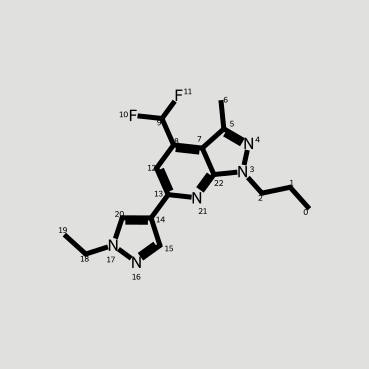 CCCn1nc(C)c2c(C(F)F)cc(-c3cnn(CC)c3)nc21